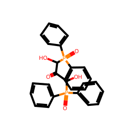 O=C(C(O)P(=O)(c1ccccc1)c1ccccc1)C(O)P(=O)(c1ccccc1)c1ccccc1